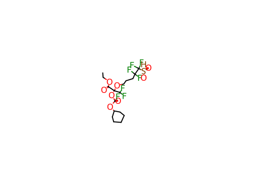 CCOC(=O)C(OCCCC(F)(F)C(F)(F)[SH](=O)=O)(OC(=O)OC1CCCCC1)C(F)(F)F